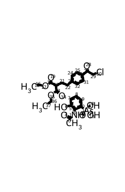 CC(=O)Nc1c(O)cccc1[As](=O)(O)O.CCOC(=O)C(CCc1ccc(C(=O)CCl)cc1)C(=O)OCC